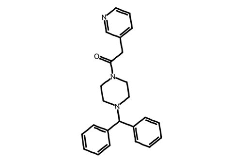 O=C(Cc1cccnc1)N1CCN(C(c2ccccc2)c2ccccc2)CC1